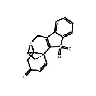 O=C1C=C[C@]23CCN(CC4=C2S(=O)(=O)c2ccccc24)[C@H]3C1